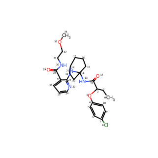 CCC(Oc1ccc(Cl)cc1)C(=O)NC12CCCC(CC1)N2c1ncccc1C(=O)NCCOC